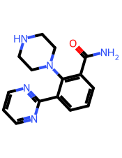 NC(=O)c1cccc(-c2ncccn2)c1N1CCNCC1